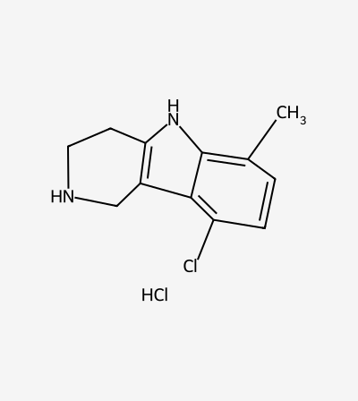 Cc1ccc(Cl)c2c3c([nH]c12)CCNC3.Cl